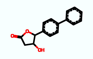 O=C1CC(O)C(c2ccc(-c3ccccc3)cc2)O1